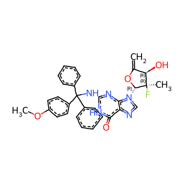 C=C1O[C@@H](n2cnc3c(=O)[nH]c(NC(c4ccccc4)(c4ccccc4)c4ccc(OC)cc4)nc32)[C@](C)(F)[C@@H]1O